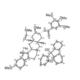 COC(=O)[C@H]1[C@H]2C[C@@H]3c4[nH]c5cc(OC)ccc5c4CCN3C[C@H]2C[C@@H](OC(=O)c2cc(OC)c(OC)c(OC)c2)[C@@H]1OC.Clc1ccccc1C(Cl)(c1ccccc1)c1ccccc1